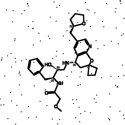 COCC(=O)N[C@@H](Cc1ccccc1)[C@H](O)CN[C@H]1CC2(CCC2)Oc2ncc(C[C@H]3CCCO3)cc21